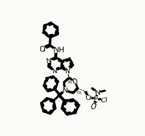 CN(C)P(=O)(Cl)OC[C@@H]1CN(C(c2ccccc2)(c2ccccc2)c2ccccc2)C[C@H](n2ccc3c(NC(=O)c4ccccc4)ncnc32)O1